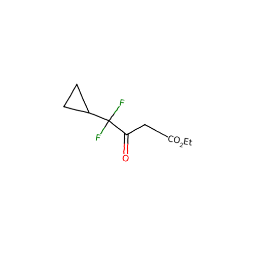 CCOC(=O)CC(=O)C(F)(F)C1CC1